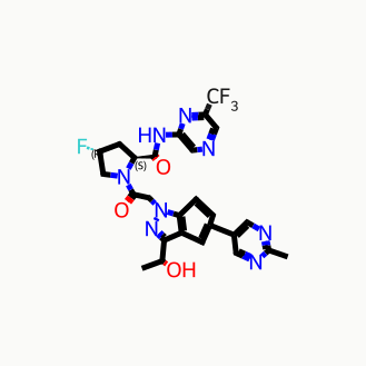 Cc1ncc(-c2ccc3c(c2)c(C(C)O)nn3CC(=O)N2C[C@H](F)C[C@H]2C(=O)Nc2cncc(C(F)(F)F)n2)cn1